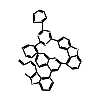 C=C/C=C\c1c(C)oc2cccc(-c3cc(-c4cccc5oc6ccc(-c7nc(-c8ccccc8)nc(-c8ccccc8)n7)cc6c45)nc4ccccc34)c12